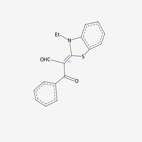 CCN1/C(=C(\C=O)C(=O)c2ccccc2)Sc2ccccc21